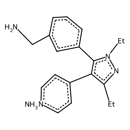 CCc1nn(CC)c(-c2cccc(CN)c2)c1-c1ccncc1.N